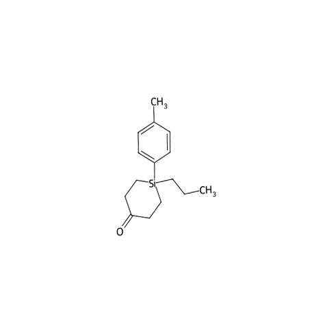 CCC[Si]1(c2ccc(C)cc2)CCC(=O)CC1